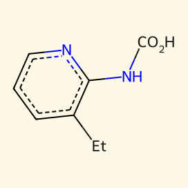 CCc1cccnc1NC(=O)O